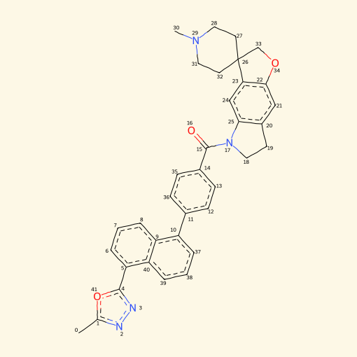 Cc1nnc(-c2cccc3c(-c4ccc(C(=O)N5CCc6cc7c(cc65)C5(CCN(C)CC5)CO7)cc4)cccc23)o1